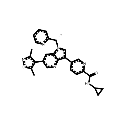 Cc1noc(C)c1-c1cnc2c(-c3ccc(C(=O)NC4CC4)nc3)cn([C@@H](C)c3ccccn3)c2c1